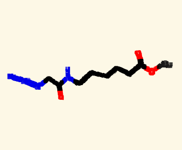 CC(C)(C)OC(=O)CCCCCNC(=O)CN=[N+]=[N-]